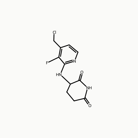 O=C1CCC(Nc2nccc(CCl)c2F)C(=O)N1